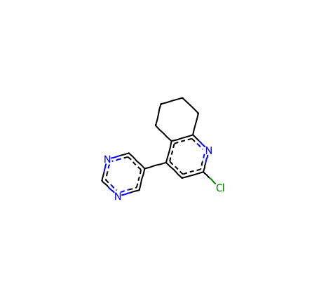 Clc1cc(-c2cncnc2)c2c(n1)CCCC2